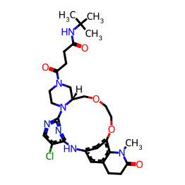 CN1C(=O)CCc2cc3cc(c21)OCCOC[C@H]1CN(C(=O)CCC(=O)NC(C)(C)C)CCN1c1ncc(Cl)c(n1)N3